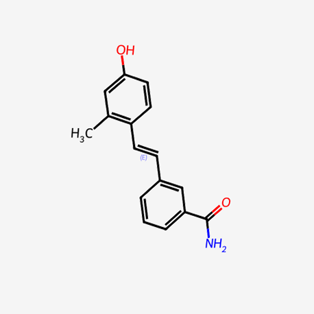 Cc1cc(O)ccc1/C=C/c1cccc(C(N)=O)c1